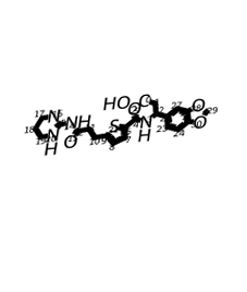 O=C(O)CC(NC(=O)c1ccc(CCC(=O)NC2=NCCCN2)s1)c1ccc2c(c1)OCO2